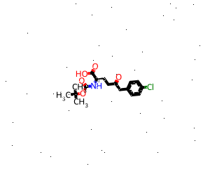 CC(C)(C)OC(=O)N[C@H](CCC(=O)Cc1ccc(Cl)cc1)C(=O)O